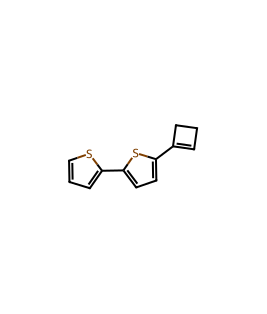 C1=C(c2ccc(-c3cccs3)s2)CC1